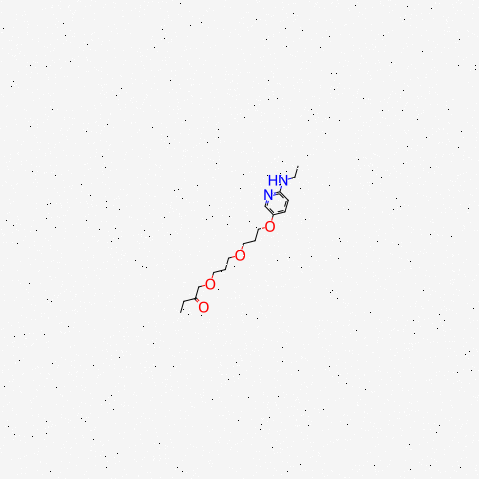 CCNc1ccc(OCCCOCCCOCC(=O)CC)cn1